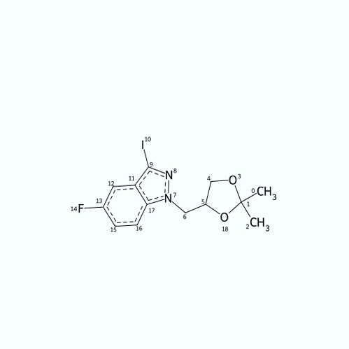 CC1(C)OCC(Cn2nc(I)c3cc(F)ccc32)O1